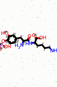 NCCCCC(NC(=O)C(N)Cc1ccc(OP(=O)(O)O)c(O)c1)C(=O)O